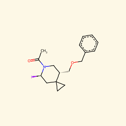 CC(=O)N1C[C@H](COCc2ccccc2)C2(CC2)C[C@H]1I